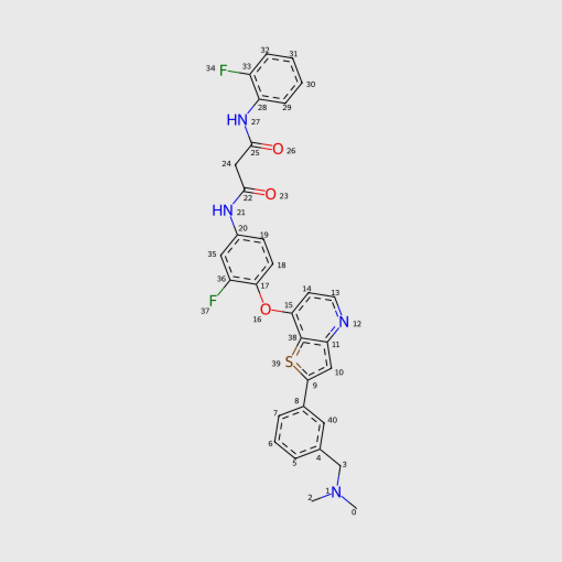 CN(C)Cc1cccc(-c2cc3nccc(Oc4ccc(NC(=O)CC(=O)Nc5ccccc5F)cc4F)c3s2)c1